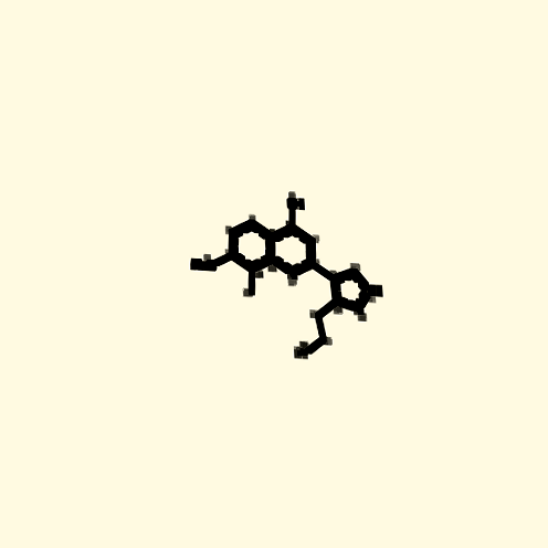 COc1ccc2c(O)cc(-c3c[nH]nc3CCC(C)C)nc2c1C